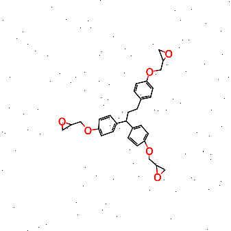 c1cc(OCC2CO2)ccc1CCC(c1ccc(OCC2CO2)cc1)c1ccc(OCC2CO2)cc1